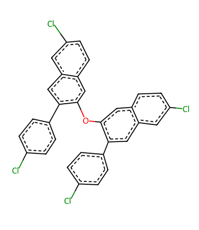 Clc1ccc(-c2cc3cc(Cl)ccc3cc2Oc2cc3ccc(Cl)cc3cc2-c2ccc(Cl)cc2)cc1